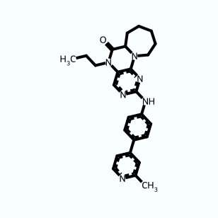 CCCN1C(=O)C2CCCCCN2c2nc(Nc3ccc(-c4ccnc(C)c4)cc3)ncc21